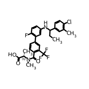 CCC(Nc1ccc(F)c(-c2ccc(C(=O)N(C)[C@@H](C)C(=O)O)c(C(F)(F)F)c2)c1)c1ccc(Cl)c(C)c1